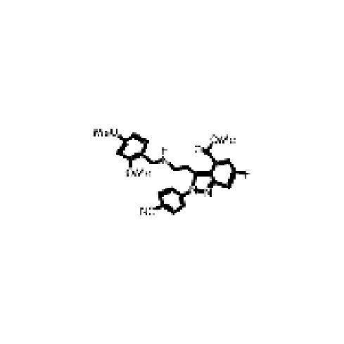 COC(=O)c1cc(F)cc2nn(-c3ccc(C#N)cc3)c(CCNCc3ccc(OC)cc3OC)c12